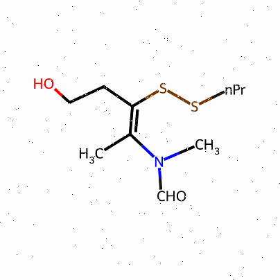 CCCSSC(CCO)=C(C)N(C)C=O